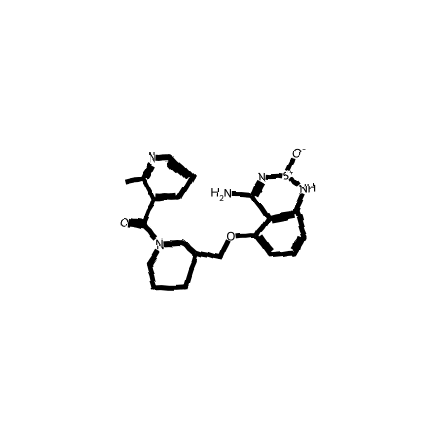 Cc1ncccc1C(=O)N1CCCC(COc2cccc3c2C(N)=N[S+]([O-])N3)C1